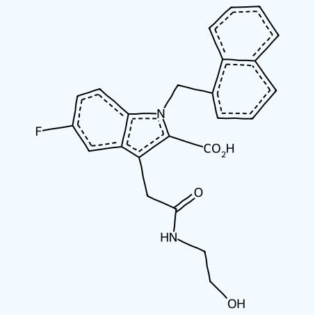 O=C(Cc1c(C(=O)O)n(Cc2cccc3ccccc23)c2ccc(F)cc12)NCCO